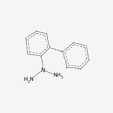 NN(N)c1ccccc1-c1ccccc1